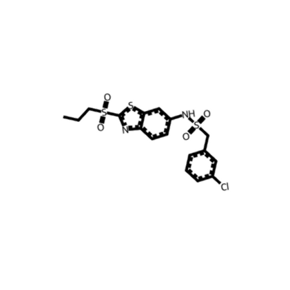 CCCS(=O)(=O)c1nc2ccc(NS(=O)(=O)Cc3cccc(Cl)c3)cc2s1